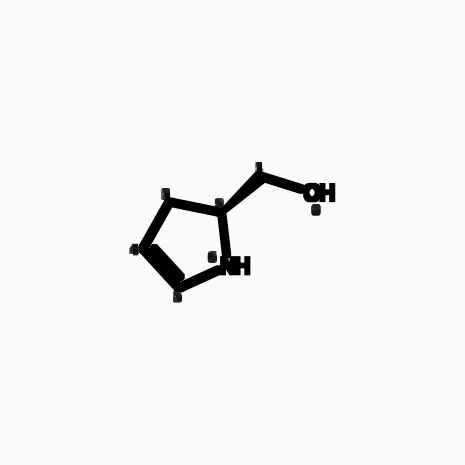 OC[C@@H]1CC=CN1